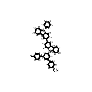 Cc1ccc(C2C=C(c3ccc(C#N)cc3)C=C(n3c4ccccc4c4cc(-c5ccc6c(c5)c5ccccc5n6-c5ccccc5)ccc43)C2)cc1